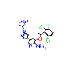 CC(Oc1cc(-c2cnn([C@H]3CCNC3)c2)cnc1N)c1c(Cl)ccc(F)c1Cl